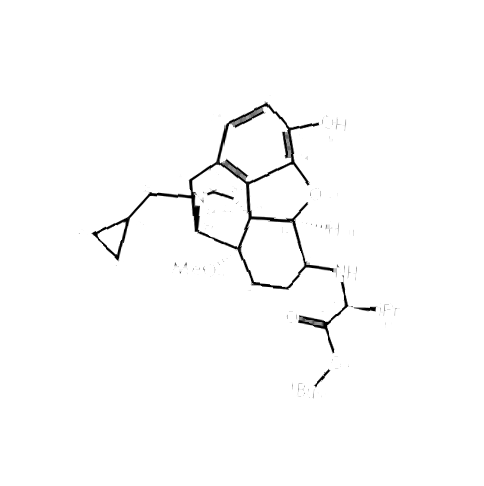 CO[C@@]12CCC(N[C@H](C(=O)OC(C)(C)C)C(C)C)[C@@H]3Oc4c(O)ccc5c4[C@@]31CCN(CC1CC1)C2C5